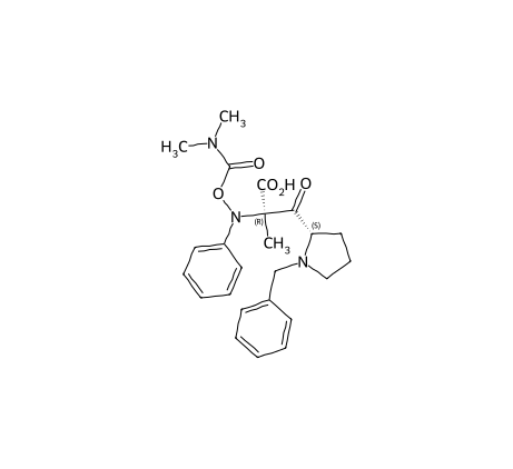 CN(C)C(=O)ON(c1ccccc1)[C@@](C)(C(=O)O)C(=O)[C@@H]1CCCN1Cc1ccccc1